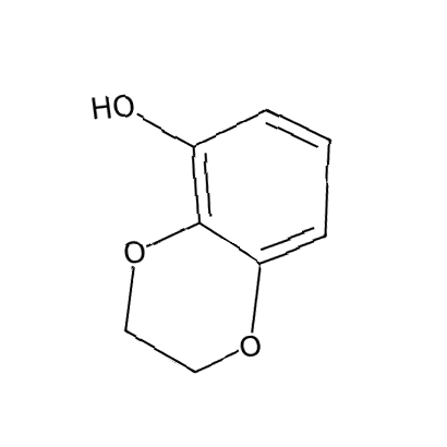 Oc1cccc2c1OCCO2